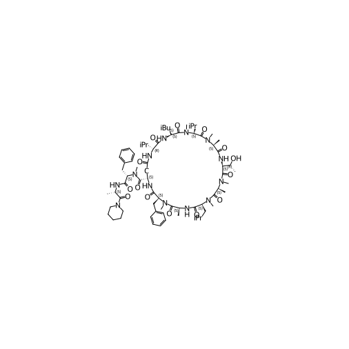 CC[C@H](C)[C@@H]1NC(=O)[C@@H](C(C)C)NC(=O)C[C@@H](C(=O)N(C)[C@@H](Cc2ccccc2)C(=O)N[C@@H](C)C(=O)N2CCCCC2)NC(=O)[C@H](Cc2ccccc2)N(C)C(=O)[C@H](C)NC(=O)[C@H](CC(C)C)N(C)C(=O)[C@H](C)N(C)C(=O)[C@H]([C@@H](C)O)NC(=O)[C@H](C)N(C)C(=O)[C@H](C(C)C)N(C)C1=O